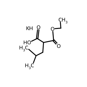 CCOC(=O)C(CC(C)C)C(=O)O.[KH]